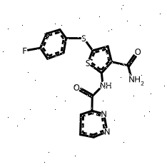 NC(=O)c1cc(Sc2ccc(F)cc2)sc1NC(=O)c1cccnn1